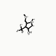 COCC1C(C(F)(F)F)C(O)CN1C